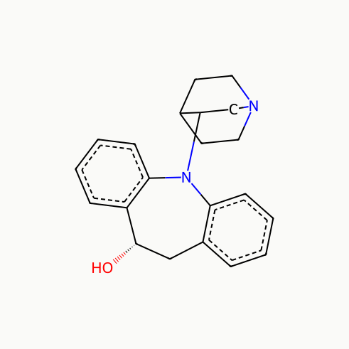 O[C@H]1Cc2ccccc2N(C2CN3CCC2CC3)c2ccccc21